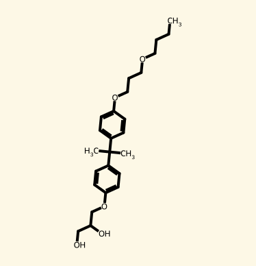 CCCCOCCCOc1ccc(C(C)(C)c2ccc(OCC(O)CO)cc2)cc1